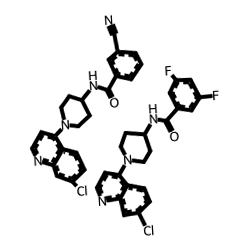 N#Cc1cccc(C(=O)NC2CCN(c3ccnc4cc(Cl)ccc34)CC2)c1.O=C(NC1CCN(c2ccnc3cc(Cl)ccc23)CC1)c1cc(F)cc(F)c1